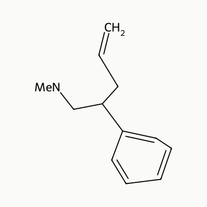 C=CCC(CNC)c1ccccc1